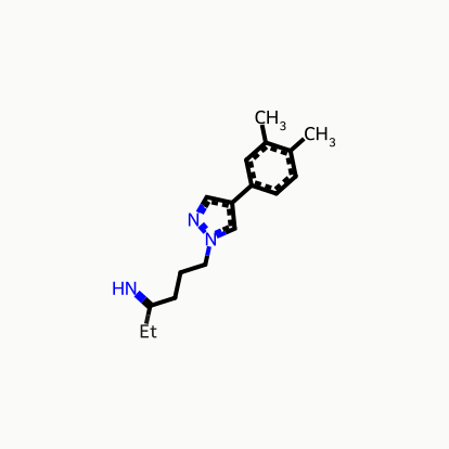 CCC(=N)CCCn1cc(-c2ccc(C)c(C)c2)cn1